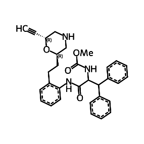 C#C[C@@H]1CNC[C@@H](CCc2ccccc2NC(=O)C(NC(=O)OC)C(c2ccccc2)c2ccccc2)O1